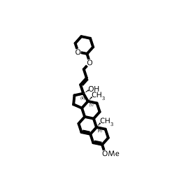 COC1=CC2=CCC3C(CC[C@@]4(C)C3CC[C@@]4(O)C=CCOC3CCCCO3)[C@@]2(C)CC1